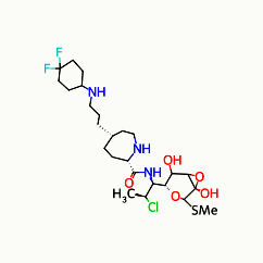 CSC1O[C@H]([C@H](NC(=O)[C@@H]2CC[C@H](CCCNC3CCC(F)(F)CC3)CCN2)[C@H](C)Cl)C(O)C2O[C@]12O